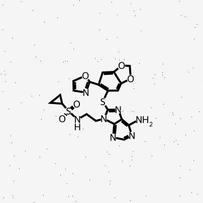 Nc1ncnc2c1nc(Sc1cc3c(cc1-c1ncco1)OCO3)n2CCNS(=O)(=O)C1CC1